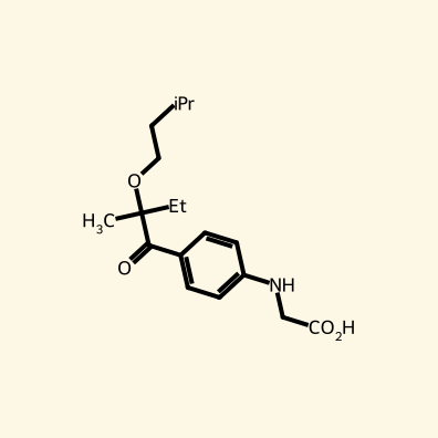 CCC(C)(OCCC(C)C)C(=O)c1ccc(NCC(=O)O)cc1